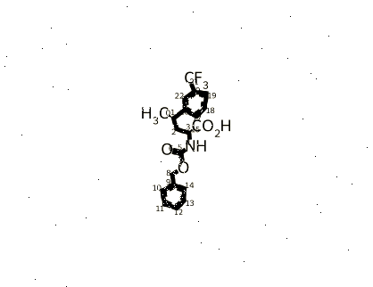 C[C@@H](C[C@@H](NC(=O)OCc1ccccc1)C(=O)O)c1cccc(C(F)(F)F)c1